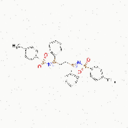 Cc1ccc(S(=O)(=O)/N=S(/CC/S(=N/S(=O)(=O)c2ccc(C)cc2)c2ccccc2)c2ccccc2)cc1